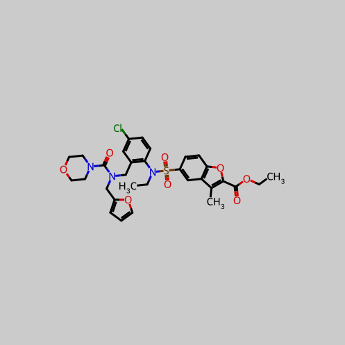 CCOC(=O)c1oc2ccc(S(=O)(=O)N(CC)c3ccc(Cl)cc3CN(Cc3ccco3)C(=O)N3CCOCC3)cc2c1C